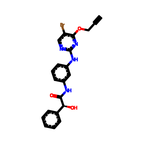 C#CCOc1nc(Nc2cccc(NC(=O)[C@@H](O)c3ccccc3)c2)ncc1Br